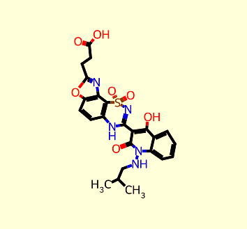 CC(C)CNn1c(=O)c(C2=NS(=O)(=O)c3c(ccc4oc(CCC(=O)O)nc34)N2)c(O)c2ccccc21